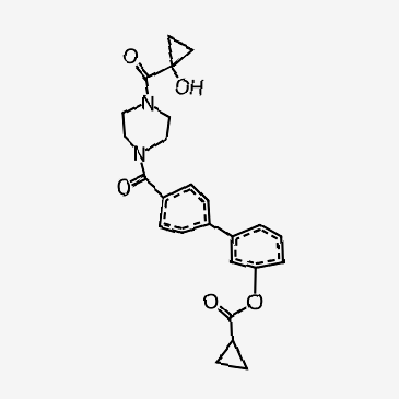 O=C(Oc1cccc(-c2ccc(C(=O)N3CCN(C(=O)C4(O)CC4)CC3)cc2)c1)C1CC1